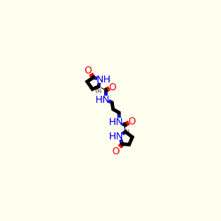 O=C1CC[C@@H](C(=O)NCCCNC(=O)[C@@H]2CCC(=O)N2)N1